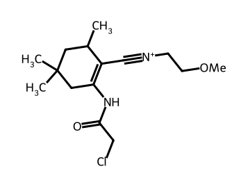 COCC[N+]#CC1=C(NC(=O)CCl)CC(C)(C)CC1C